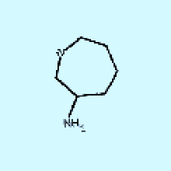 NC1CCCC[N]C1